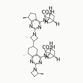 C[C@@H]1CC(C2CN(c3nc4c(c(N5C[C@H]6C[C@@H](C5)[C@H]6CC(=O)O)n3)CC[C@@H]4C)[C@H]2C)Cc2c1nc(N1CC[C@@H]1C)nc2N1C[C@H]2C[C@@H](C1)[C@H]2CC(=O)O